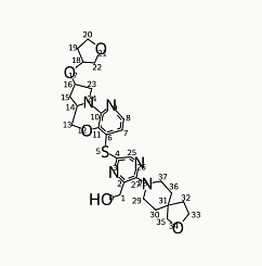 OCc1nc(Sc2ccnc3c2OCC2CC(OC4CCOC4)CN32)cnc1N1CCC2(CCOC2)CC1